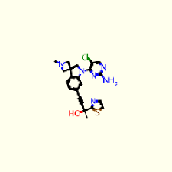 CN1CC2(C1)CN(c1nc(N)ncc1Cl)c1cc(C#C[C@@](C)(O)c3nccs3)ccc12